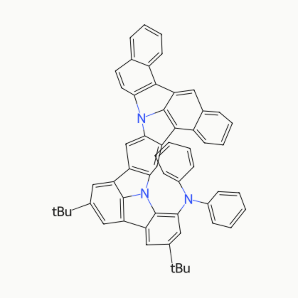 CC(C)(C)c1cc(N(c2ccccc2)c2ccccc2)c2c(c1)c1cc(C(C)(C)C)cc3c4cc5c(cc4n2c31)c1c2ccccc2cc2c3c4ccccc4ccc3n5c21